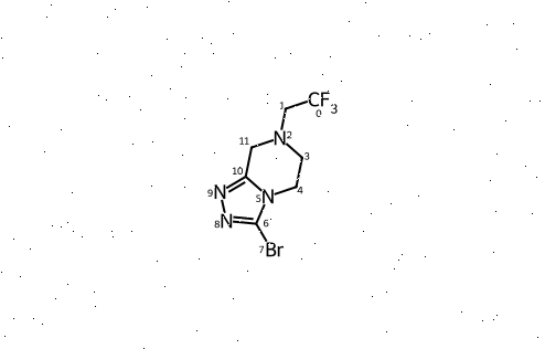 FC(F)(F)CN1CCn2c(Br)nnc2C1